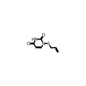 C=CCSn1ccc(=O)[nH]c1=O